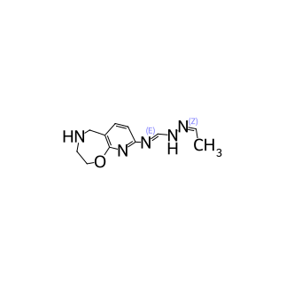 C/C=N\N/C=N/c1ccc2c(n1)OCCNC2